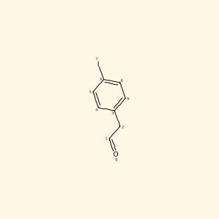 O=[C]Cc1ccc(I)cc1